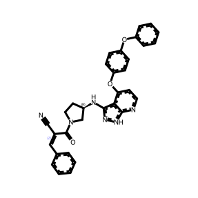 N#C/C(=C/c1ccccc1)C(=O)N1CC[C@@H](Nc2n[nH]c3nccc(Oc4ccc(Oc5ccccc5)cc4)c23)C1